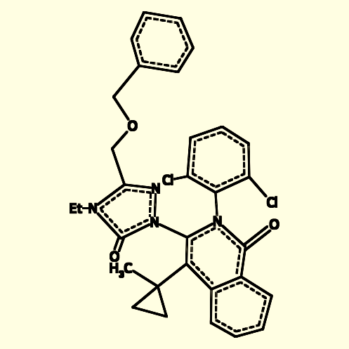 CCn1c(COCc2ccccc2)nn(-c2c(C3(C)CC3)c3ccccc3c(=O)n2-c2c(Cl)cccc2Cl)c1=O